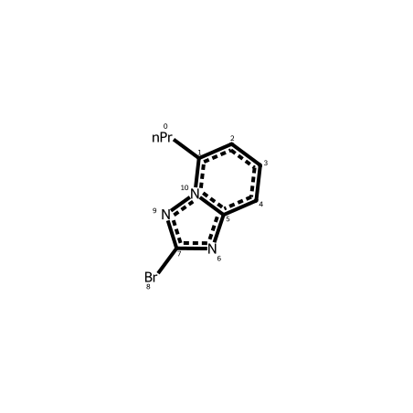 CCCc1cccc2nc(Br)nn12